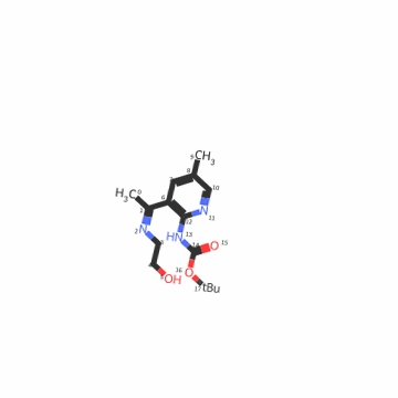 C/C(=N/CCO)c1cc(C)cnc1NC(=O)OC(C)(C)C